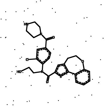 O=C(c1ccc(N(CCO)C(=O)c2cc3c(s2)-c2ccccc2OCC3)c(Cl)c1)N1CCNCC1